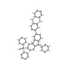 O=P(c1ccccc1)(c1ccccc1)c1ccc2c(c1)c1cc(-c3ccc4c(c3)Oc3ccccc3O4)ccc1n2-c1ccccc1